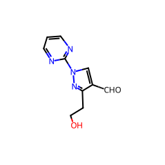 O=Cc1cn(-c2ncccn2)nc1CCO